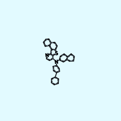 c1ccc(-c2ccc(N(c3ccc4ccccc4c3)c3ccnc4c3sc3ccc5ccccc5c34)cc2)cc1